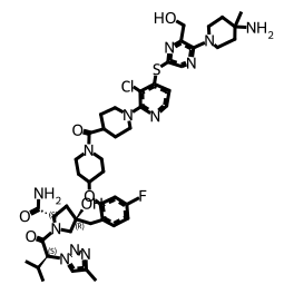 Cc1cn([C@H](C(=O)N2C[C@@](O)(Cc3ccc(F)cc3OC3CCN(C(=O)C4CCN(c5nccc(Sc6cnc(N7CCC(C)(N)CC7)c(CO)n6)c5Cl)CC4)CC3)C[C@H]2C(N)=O)C(C)C)nn1